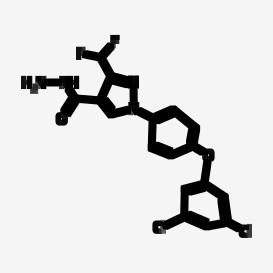 NNC(=O)c1cn(-c2ccc(Oc3cc(Cl)cc(Cl)c3)cc2)nc1C(F)F